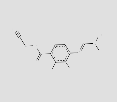 C#CCOC(=O)c1ccc(/N=C/N(C)CC)c(C)c1C